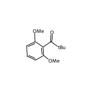 COc1cccc(OC)c1C(=O)C(C)(C)C